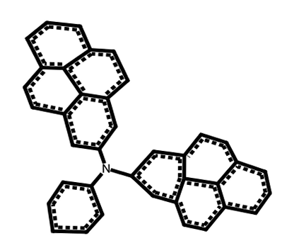 c1ccc(N(c2cc3ccc4cccc5ccc(c2)c3c45)c2cc3ccc4cccc5ccc(c2)c3c45)cc1